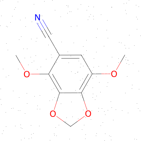 COc1cc(C#N)c(OC)c2c1OCO2